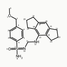 COCc1ccc(S(N)(=O)=NCNc2c3c(cc4c2CCC4)CCC3)cc1